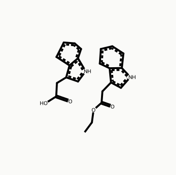 CCOC(=O)Cc1c[nH]c2ccccc12.O=C(O)Cc1c[nH]c2ccccc12